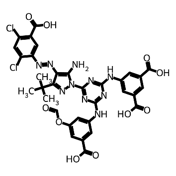 CC(C)(C)c1nn(-c2nc(Nc3cc(OC=O)cc(C(=O)O)c3)nc(Nc3cc(C(=O)O)cc(C(=O)O)c3)n2)c(N)c1/N=N/c1cc(C(=O)O)c(Cl)cc1Cl